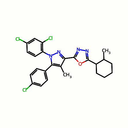 Cc1c(-c2nnc(C3CCCCC3C)o2)nn(-c2ccc(Cl)cc2Cl)c1-c1ccc(Cl)cc1